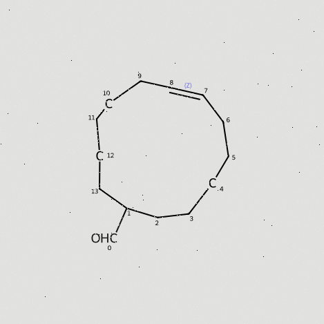 O=CC1CCCCC/C=C\CCCCC1